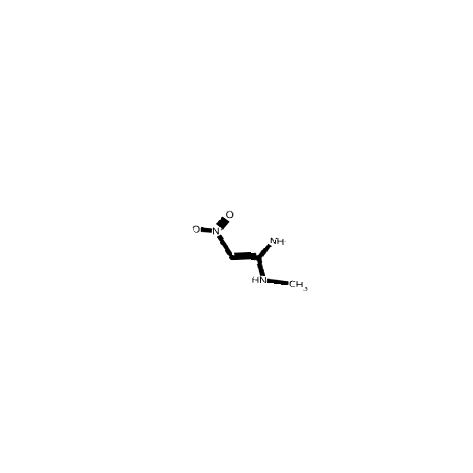 CNC([NH])=C[N+](=O)[O-]